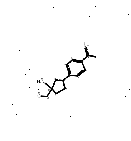 CC(=N)c1ccc(C2CCC(N)(CO)C2)cc1